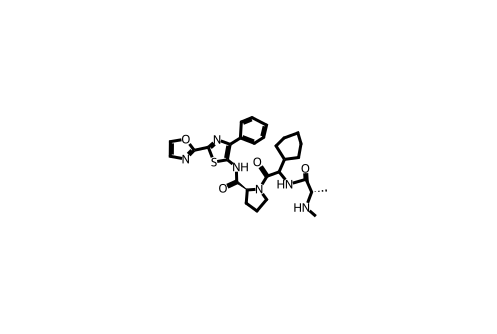 CN[C@@H](C)C(=O)NC(C(=O)N1CCC[C@H]1C(=O)Nc1sc(-c2ncco2)nc1-c1ccccc1)C1CCCCC1